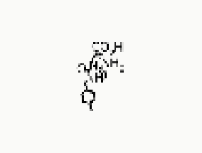 Cc1ccc(CNC(=O)N(C[C@H](C)C(=O)O)C(N)=O)cc1